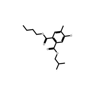 CCCCOC(=O)c1cc(C)c(Cl)cc1C(=O)OCC(C)C